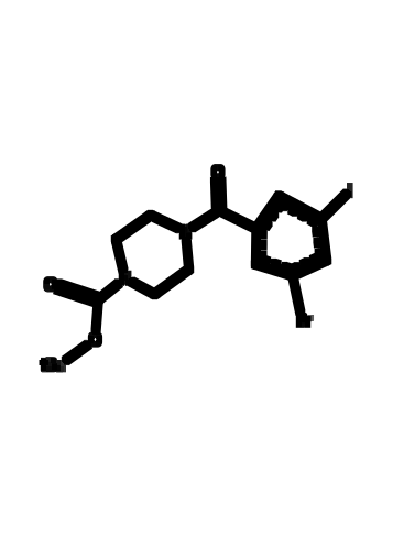 CC(C)(C)OC(=O)N1CCN(C(=O)c2cc(Br)cc(I)c2)CC1